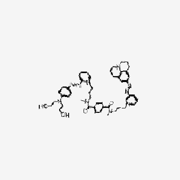 CN(CCC[n+]1cccc(/N=N/c2cc3c4c(c2)CCCN4CCC3)c1)C(=O)c1ccc(C(=O)N(C)CCC[n+]2ccccc2/N=N/c2ccc(N(CCO)CCO)cc2)cc1